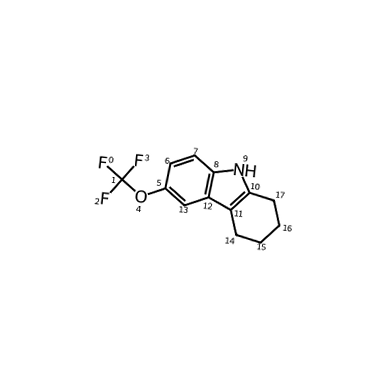 FC(F)(F)Oc1ccc2[nH]c3c(c2c1)CCCC3